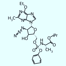 CCOc1nc(C)nc2c1ncn2[C@@H]1O[C@H](CO[P@@](=O)(N[C@@H](C)C(=O)OC(C)C)Oc2ccccc2)[C@@H](O)[C@H]1N=[N+]=[N-]